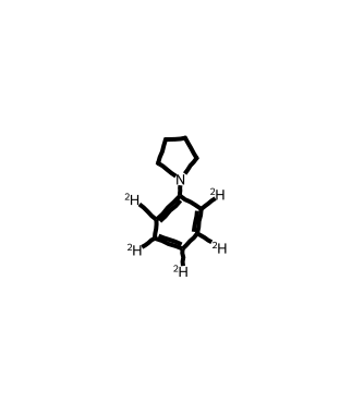 [2H]c1c([2H])c([2H])c(N2CCCC2)c([2H])c1[2H]